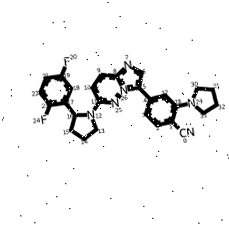 N#Cc1ccc(-c2cnc3ccc(N4CCCC4c4cc(F)ccc4F)nn23)cc1N1CCCC1